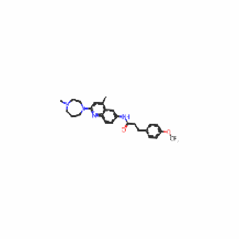 Cc1cc(N2CCCN(C)CC2)nc2ccc(NC(=O)CCc3ccc(OC(F)(F)F)cc3)cc12